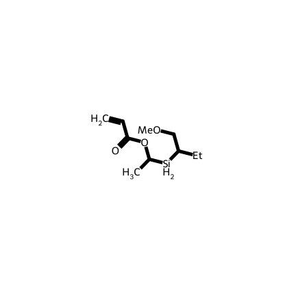 C=CC(=O)OC(C)[SiH2]C(CC)COC